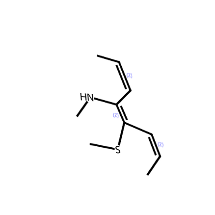 C\C=C/C(NC)=C(\C=C/C)SC